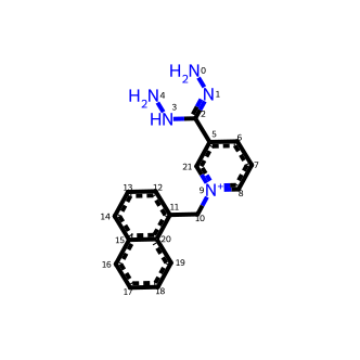 N/N=C(\NN)c1ccc[n+](Cc2cccc3ccccc23)c1